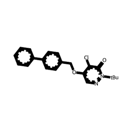 CC(C)(C)n1ncc(OCc2ccc(-c3ccccc3)cc2)c(Cl)c1=O